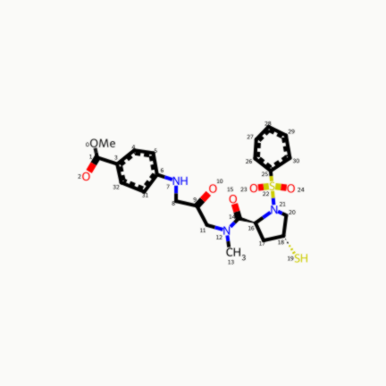 COC(=O)c1ccc(NCC(=O)CN(C)C(=O)[C@@H]2C[C@@H](S)CN2S(=O)(=O)c2ccccc2)cc1